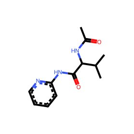 CC(=O)NC(C(=O)Nc1ccccn1)C(C)C